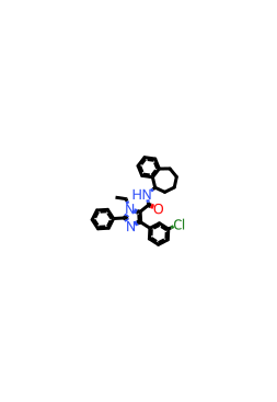 CCn1c(-c2ccccc2)nc(-c2cccc(Cl)c2)c1C(=O)NC1CCCCc2ccccc21